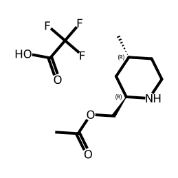 CC(=O)OC[C@H]1C[C@H](C)CCN1.O=C(O)C(F)(F)F